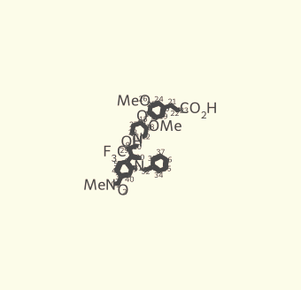 CNC(=O)c1ccc2c(C(O)(CN3CCC(Oc4c(OC)cc(CCC(=O)O)cc4OC)CC3)C(F)(F)F)cn(Cc3ccccc3)c2c1